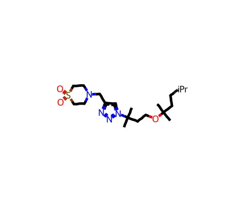 CC(C)CCC(C)(C)OCCC(C)(C)n1cc(CN2CCS(=O)(=O)CC2)nn1